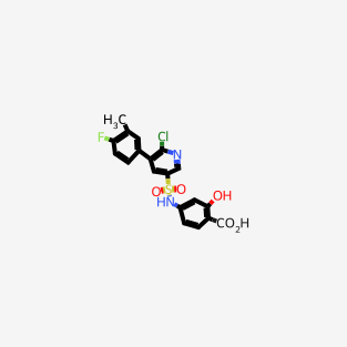 Cc1cc(-c2cc(S(=O)(=O)Nc3ccc(C(=O)O)c(O)c3)cnc2Cl)ccc1F